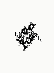 CN1C2C=C(c3ccc(Nc4ncc5cc(C6CC6)n(-c6cccc(N=S(C)(C)=O)n6)c5n4)cc3)C1CC2